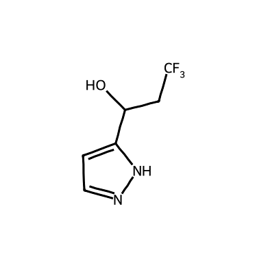 OC(CC(F)(F)F)c1ccn[nH]1